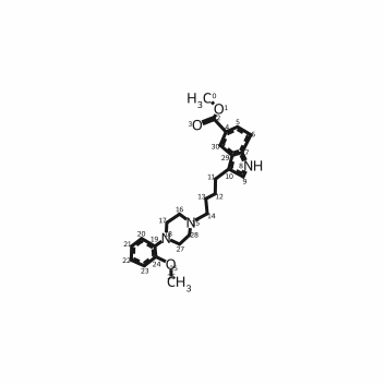 COC(=O)c1ccc2[nH]cc(CCCCN3CCN(c4ccccc4OC)CC3)c2c1